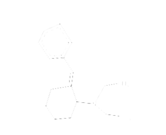 CCN(CC)C1CCCCC1=Cc1ccccc1